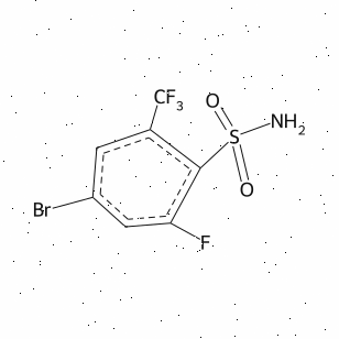 NS(=O)(=O)c1c(F)cc(Br)cc1C(F)(F)F